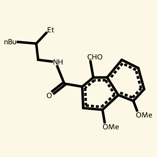 CCCCC(CC)CNC(=O)c1cc(OC)c2c(OC)cccc2c1C=O